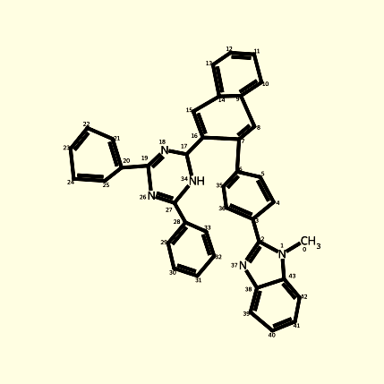 Cn1c(-c2ccc(-c3cc4ccccc4cc3C3N=C(c4ccccc4)N=C(c4ccccc4)N3)cc2)nc2ccccc21